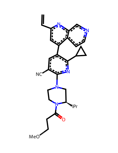 C=Cc1cc(-c2cc(C#N)c(N3CCN(C(=O)CCOC)[C@H](C(C)C)C3)nc2C2CC2)c2ccncc2n1